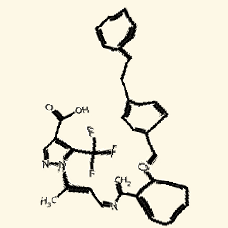 C=C(/N=C\C=C(/C)n1ncc(C(=O)O)c1C(F)(F)F)c1ccccc1OCc1ccc(CCc2ccccc2)cc1